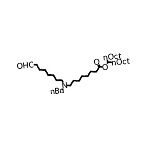 CCCCCCCCC(CCCCCCCC)OC(=O)CCCCCCCN(CCCC)CCCCCCCC=O